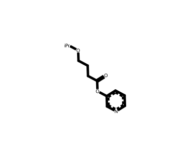 CC(C)OCCCC(=O)Oc1cccnc1